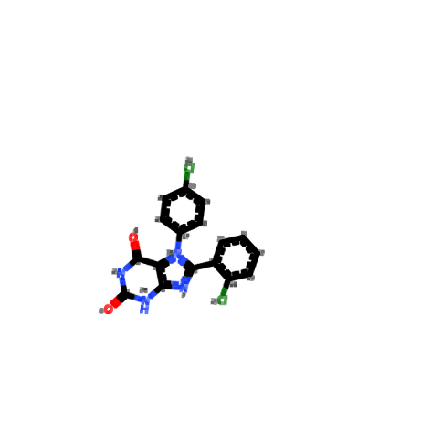 O=C1[N]C(=O)c2c(nc(-c3ccccc3Cl)n2-c2ccc(Cl)cc2)N1